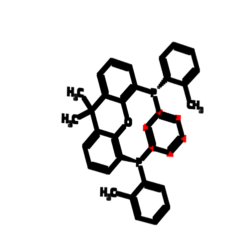 Cc1ccccc1[P@](c1ccccc1)c1cccc2c1Oc1c([P@@](c3ccccc3)c3ccccc3C)cccc1C2(C)C